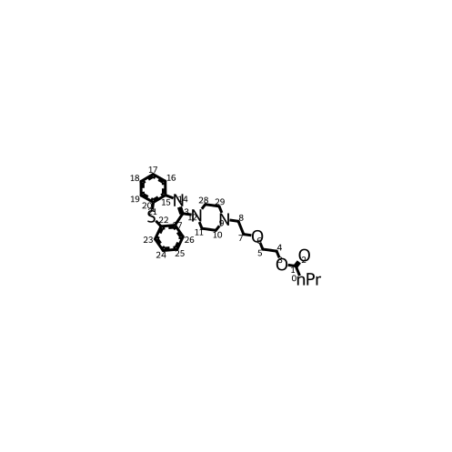 CCCC(=O)OCCOCCN1CCN(C2=Nc3ccccc3Sc3ccccc32)CC1